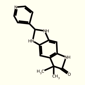 CC1(C)C(=O)Nc2cc3c(cc21)NC(c1ccncc1)N3